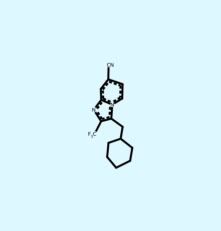 N#Cc1ccn2c(CC3CCCCC3)c(C(F)(F)F)nc2c1